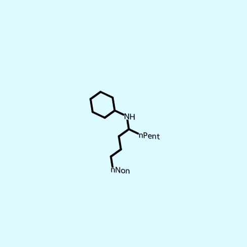 CCCCCCCCCCCCC(CCCCC)NC1CCCCC1